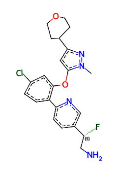 Cn1nc(C2CCOCC2)cc1Oc1cc(Cl)ccc1-c1ccc([C@H](F)CN)cn1